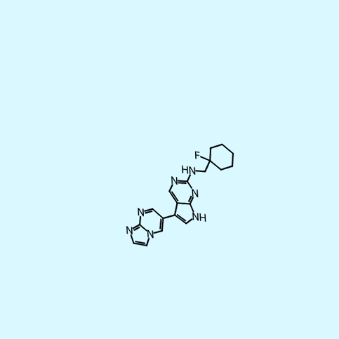 FC1(CNc2ncc3c(-c4cnc5nccn5c4)c[nH]c3n2)CCCCC1